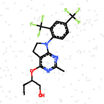 CCC(CO)Oc1nc(C)nc2c1CCN2c1ccc(C(F)(F)F)cc1C(F)(F)F